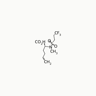 C=CCC[C@@H](C(=O)O)N(C)S(=O)(=O)CCC(F)(F)F